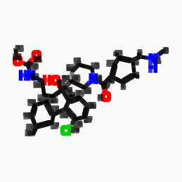 CNCc1ccc(C(=O)N2CCC[C@@H]([C@@](O)(CCCNC(=O)OC)c3cccc(Cl)c3-c3cccc(C)c3)C2)cc1